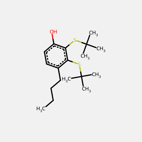 CCCCc1ccc(O)c(SC(C)(C)C)c1SC(C)(C)C